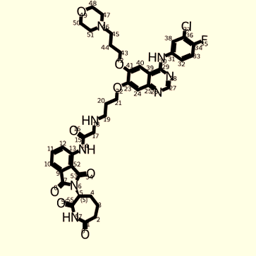 O=C1CCC[C@H](N2C(=O)c3cccc(NC(=O)CNCCCOc4cc5ncnc(Nc6ccc(F)c(Cl)c6)c5cc4OCCCN4CCOCC4)c3C2=O)C(=O)N1